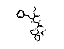 CCOC(=O)C(CCc1ccccc1)N[C@@H](C)C(=O)N1CCCC2(CCSC2)[C@H]1C(=O)O